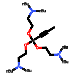 CC#C[Si](OCCN(CCCC)CCCC)(OCCN(CCCC)CCCC)OCCN(CCCC)CCCC